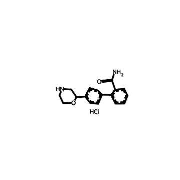 Cl.NC(=O)c1ccccc1-c1ccc(C2CNCCO2)cc1